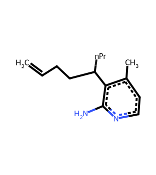 C=CCCC(CCC)c1c(C)ccnc1N